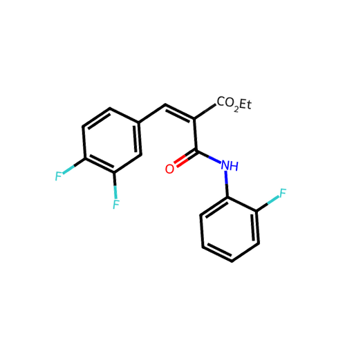 CCOC(=O)C(=Cc1ccc(F)c(F)c1)C(=O)Nc1ccccc1F